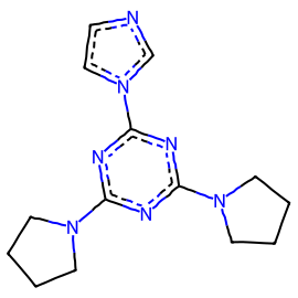 c1cn(-c2nc(N3CCCC3)nc(N3CCCC3)n2)cn1